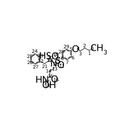 CCCCOc1ccc(S(=O)(=O)N(CCC(=O)NO)C(S)Cc2ccccc2)cc1